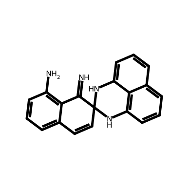 N=C1c2c(N)cccc2C=CC12Nc1cccc3cccc(c13)N2